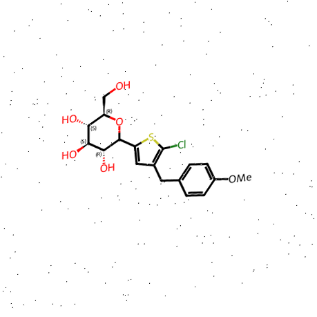 COc1ccc(Cc2cc(C3O[C@H](CO)[C@@H](O)[C@H](O)[C@H]3O)sc2Cl)cc1